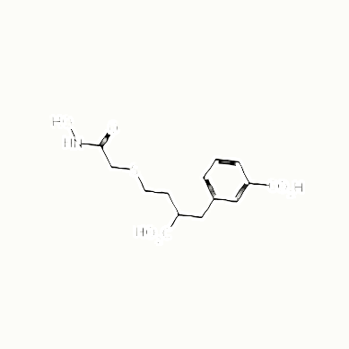 O=C(CSCCC(Cc1cccc(C(=O)O)c1)C(=O)O)NO